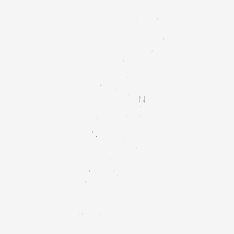 c1ccc(-c2nccc3c2oc2ccccc23)c(-c2ccccc2-c2nccc3c2sc2ccccc23)c1